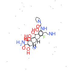 CNCCc1c(F)c2c(c(O)c1NC(=O)CN1CCCC1)C(=O)C1=C(O)[C@]3(O)C(=O)C(C(N)=O)=C(O)[C@@H](N(C)C)[C@@H]3C[C@@H]1C2